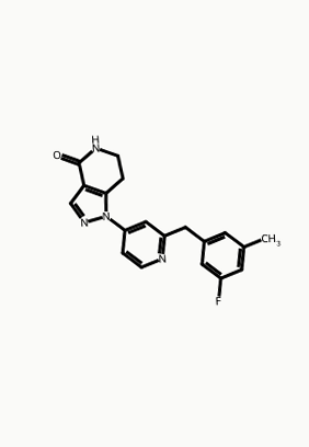 Cc1cc(F)cc(Cc2cc(-n3ncc4c3CCNC4=O)ccn2)c1